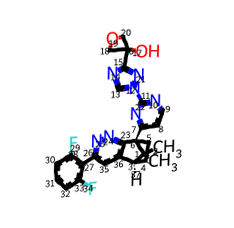 CC1(C)[C@H]2CC[C@@]1(c1ccnc(-n3cnc(C4(O)COC4)n3)n1)c1nnc(-c3c(F)cccc3F)cc12